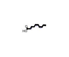 C=C/C=C\C=C/C/C=C/C(=O)O